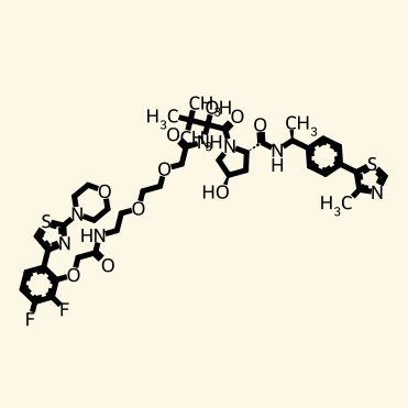 Cc1ncsc1-c1ccc([C@H](C)NC(=O)[C@@H]2C[C@@H](O)CN2C(=O)C(O)(NC(=O)COCCOCCNC(=O)COc2c(-c3csc(N4CCOCC4)n3)ccc(F)c2F)C(C)(C)C)cc1